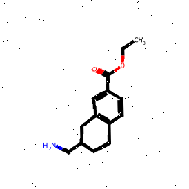 CCOC(=O)c1ccc2c(c1)CC(CN)CC2